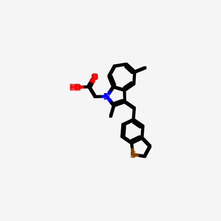 CC1=CCC=c2c(c(Cc3ccc4c(c3)CCS4)c(C)n2CC(=O)O)=C1